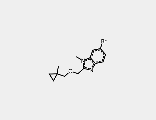 Cn1c(COCC2(C)CC2)nc2ccc(Br)cc21